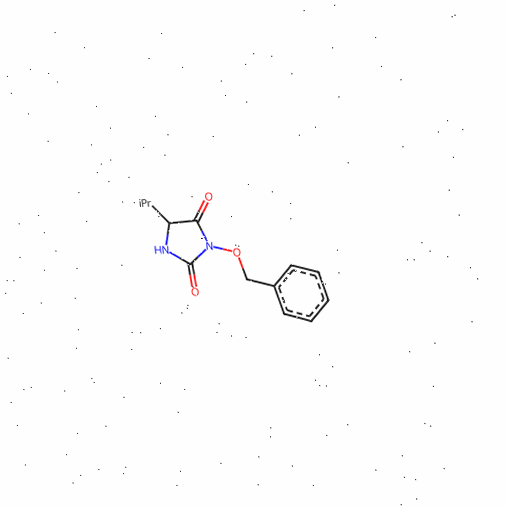 CC(C)C1NC(=O)N(OCc2ccccc2)C1=O